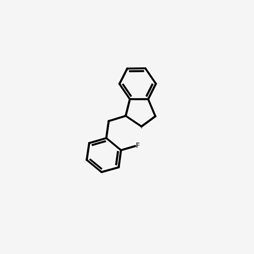 Fc1ccccc1CC1[CH]Cc2ccccc21